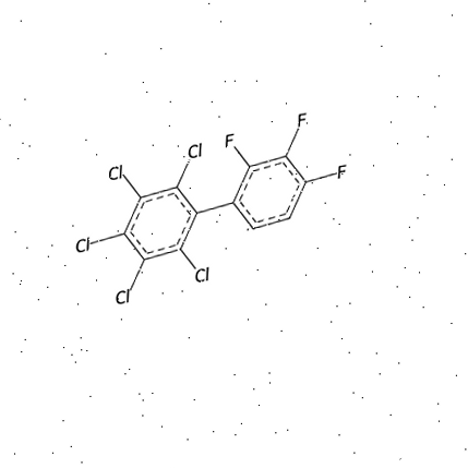 Fc1c[c]c(-c2c(Cl)c(Cl)c(Cl)c(Cl)c2Cl)c(F)c1F